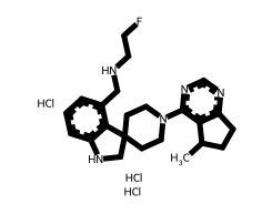 CC1CCc2ncnc(N3CCC4(CC3)CNc3cccc(CNCCF)c34)c21.Cl.Cl.Cl